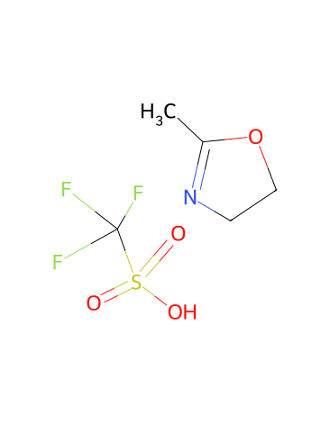 CC1=NCCO1.O=S(=O)(O)C(F)(F)F